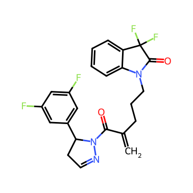 C=C(CCCN1C(=O)C(F)(F)c2ccccc21)C(=O)N1N=CCC1c1cc(F)cc(F)c1